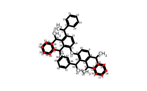 CC(c1ccccc1)c1ccc(Oc2ccc(C(C)c3ccccc3)c(C(C)c3ccccc3)c2C(C)c2ccccc2)c(C(C)c2ccccc2)c1C(C)c1ccccc1